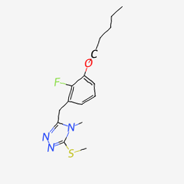 CCCCCOc1cccc(Cc2nnc(SC)n2C)c1F